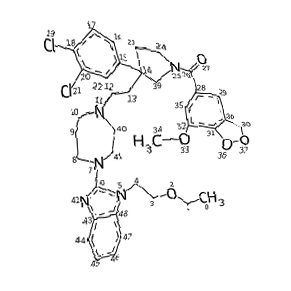 CCOCCn1c(N2CCCN(CCC3(c4ccc(Cl)c(Cl)c4)CCN(C(=O)c4cc5c(c(OC)c4)OOC5)C3)CC2)nc2ccccc21